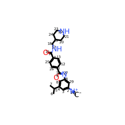 [C-]#[N+]c1cc(C(C)C)c2oc(-c3ccc(C(=O)NCC4CCNCC4)cc3)nc2c1